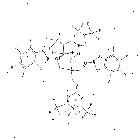 Fc1c(F)c(F)c2c(c1F)OB(OCC(COB1Oc3c(F)c(F)c(F)c(F)c3O1)(COB(OC(C(F)(F)F)C(F)(F)F)OC(C(F)(F)F)C(F)(F)F)COB(OC(C(F)(F)F)C(F)(F)F)OC(C(F)(F)F)C(F)(F)F)O2